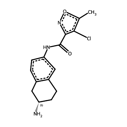 Cc1onc(C(=O)Nc2ccc3c(c2)CC[C@H](N)C3)c1Cl